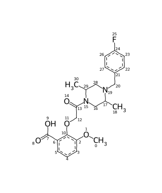 COc1cccc(C(=O)O)c1OCC(=O)N1CC(C)N(Cc2ccc(F)cc2)CC1C